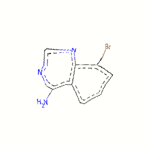 Nc1ncnc2c(Br)cccc12